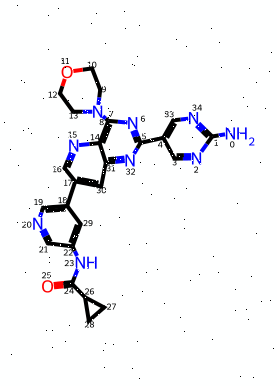 Nc1ncc(-c2nc(N3CCOCC3)c3ncc(-c4cncc(NC(=O)C5CC5)c4)cc3n2)cn1